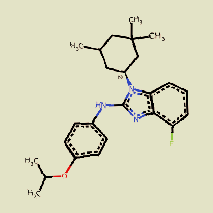 CC1C[C@H](n2c(Nc3ccc(OC(C)C)cc3)nc3c(F)cccc32)CC(C)(C)C1